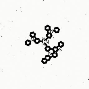 c1ccc(-n2c3ccccc3c3cc(-c4nc(-c5ccc(-n6c7ccccc7c7cc8ccccc8cc76)c(-c6ccc7sc8ccccc8c7c6)c5)nc(-c5ccc6c(c5)c5ccccc5n6-c5ccccc5)n4)ccc32)cc1